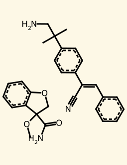 CC(C)(CN)c1ccc(/C(C#N)=C/c2ccccc2)cc1.COC1(C(N)=O)COc2ccccc21